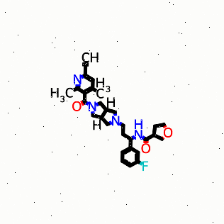 C#Cc1cc(C)c(C(=O)N2C[C@H]3CN(CCC(NC(=O)C4CCOC4)c4cccc(F)c4)C[C@H]3C2)c(C)n1